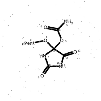 CCCCCOC1(OC(N)=O)NC(=O)NC1=O